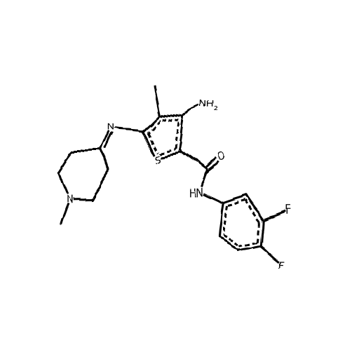 Cc1c(N=C2CCN(C)CC2)sc(C(=O)Nc2ccc(F)c(F)c2)c1N